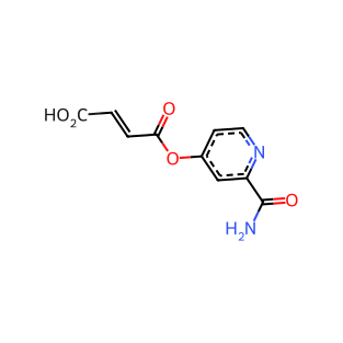 NC(=O)c1cc(OC(=O)/C=C/C(=O)O)ccn1